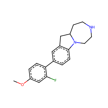 COc1ccc(-c2ccc3c(c2)CC2CCNCCN32)c(F)c1